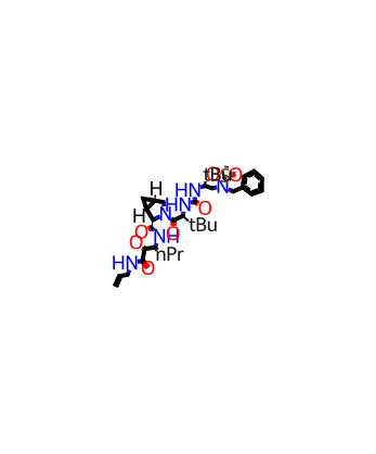 C=CCNC(=O)C(=O)C(CCC)NC(=O)[C@@H]1[C@H]2C[C@H]2CN1C(=O)[C@@H](NC(=O)N[C@H](CN(Cc1ccccc1)S(C)(=O)=O)C(C)(C)C)C(C)(C)C